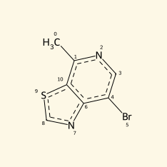 Cc1ncc(Br)c2ncsc12